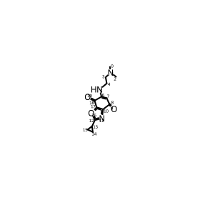 CN(C)CCNC1=CC(=O)c2nc(C3CC3)oc2C1=O